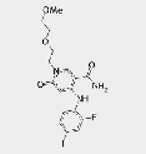 COCCOCCn1cc(C(N)=O)c(Nc2ccc(I)cc2F)cc1=O